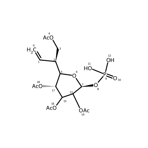 C=C[C@@H](COC(C)=O)C1O[C@@H](OP(=O)(O)O)C(OC(C)=O)C(OC(C)=O)[C@@H]1OC(C)=O